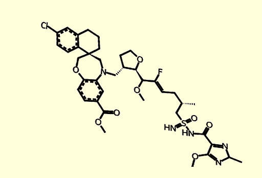 COC(=O)c1ccc2c(c1)N(C[C@@H]1CCO[C@H]1C(OC)/C(F)=C/C[C@H](C)CS(=N)(=O)NC(=O)C1=NC(C)N=C1OC)C[C@@]1(CCCc3cc(Cl)ccc31)CO2